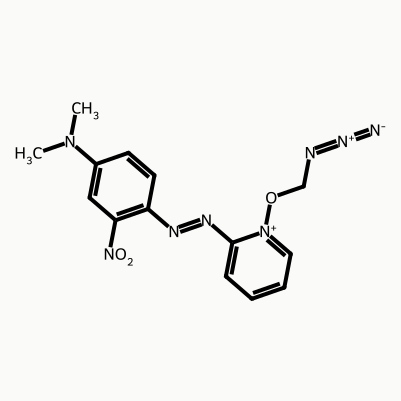 CN(C)c1ccc(/N=N/c2cccc[n+]2OCN=[N+]=[N-])c([N+](=O)[O-])c1